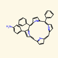 Nc1ccc(C2=CC3=CC4=NC(=CC5=NC(=C(c6ccccc6)C6=NC(=C(c7ccccc7)C2=N3)C=C6)C=C5)C=C4)cc1